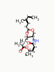 C=C/C(C)=C/C[C@H]1OC[C@@H](NC(=O)/C=C\[C@H](C)OC(C)=O)[C@@H](C)O1